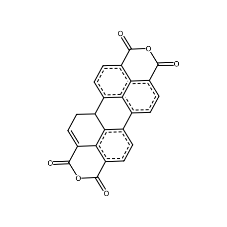 O=C1OC(=O)c2ccc3c4c2C1=CCC4c1ccc2c4c(ccc-3c14)C(=O)OC2=O